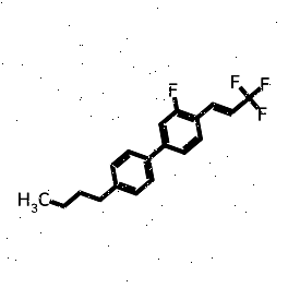 CCCCc1ccc(-c2ccc(/C=C/C(F)(F)F)c(F)c2)cc1